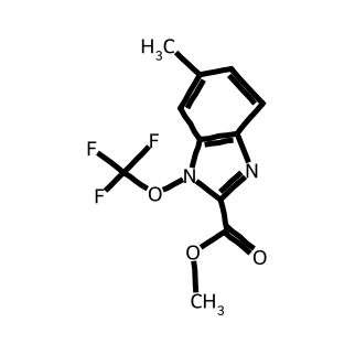 COC(=O)c1nc2ccc(C)cc2n1OC(F)(F)F